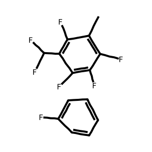 Cc1c(F)c(F)c(F)c(C(F)F)c1F.Fc1ccccc1